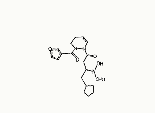 O=CN(O)C(CC(=O)N1C=CCCN1C(=O)c1ccoc1)CC1CCCC1